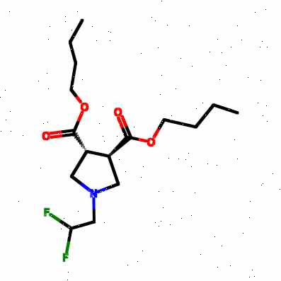 CCCCOC(=O)[C@H]1CN(CC(F)F)C[C@@H]1C(=O)OCCCC